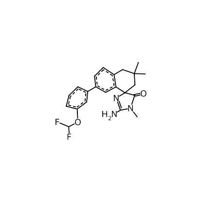 CN1C(=O)C2(CC(C)(C)Cc3ccc(-c4cccc(OC(F)F)c4)cc32)N=C1N